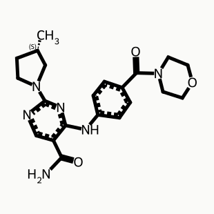 C[C@H]1CCN(c2ncc(C(N)=O)c(Nc3ccc(C(=O)N4CCOCC4)cc3)n2)C1